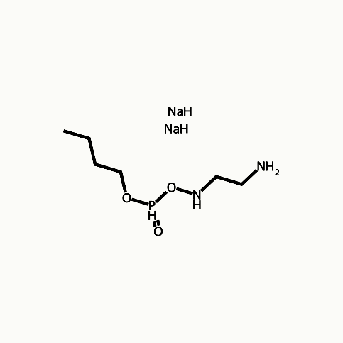 CCCCO[PH](=O)ONCCN.[NaH].[NaH]